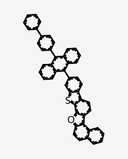 c1ccc(-c2ccc(-c3c4ccccc4c(-c4ccc5c(c4)sc4c5ccc5c4oc4ccc6ccccc6c45)c4ccccc34)cc2)cc1